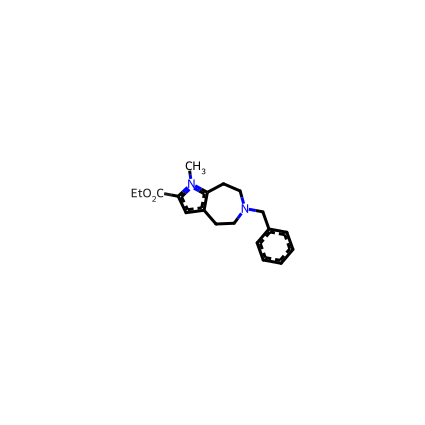 CCOC(=O)c1cc2c(n1C)CCN(Cc1ccccc1)CC2